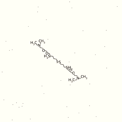 CCN(CC)CCOCOC[SiH2]CCCSSCCC[SiH2]COCOCCN(CC)CC